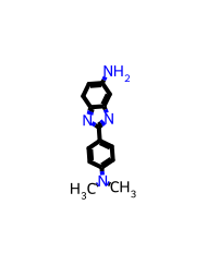 CN(C)c1ccc(C2=NC3=CC(N)=CCC3=N2)cc1